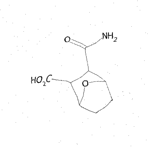 NC(=O)C1C2CCC(O2)C1C(=O)O